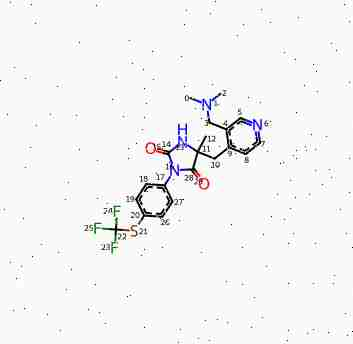 CN(C)Cc1cnccc1CC1(C)NC(=O)N(c2ccc(SC(F)(F)F)cc2)C1=O